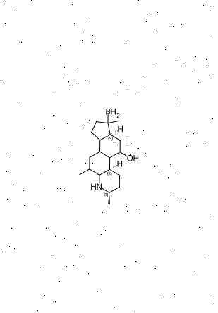 BC1(C)CCC2C3CC(C)C4N[C@H](C)CC[C@@H]4C3C(O)C[C@@H]21